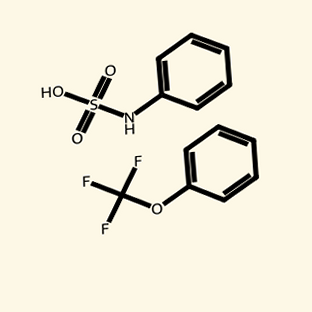 FC(F)(F)Oc1ccccc1.O=S(=O)(O)Nc1ccccc1